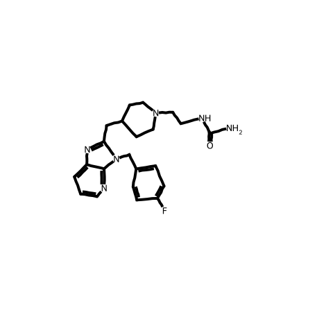 NC(=O)NCCN1CCC(Cc2nc3cccnc3n2Cc2ccc(F)cc2)CC1